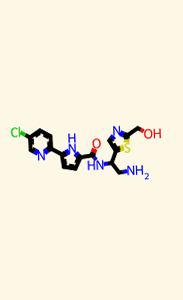 NCC(NC(=O)c1ccc(-c2ccc(Cl)cn2)[nH]1)c1cnc(CO)s1